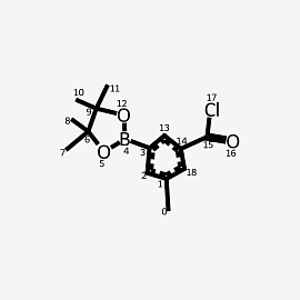 Cc1cc(B2OC(C)(C)C(C)(C)O2)cc(C(=O)Cl)c1